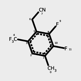 Cc1cc(C(F)(F)F)c(CC#N)c(F)c1F